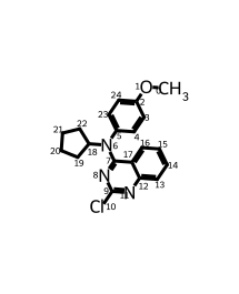 COc1ccc(N(c2nc(Cl)nc3ccccc23)C2CCCC2)cc1